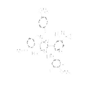 COc1ccc(CN(Cc2ccc(OC)cc2)c2nc(C)nc(-c3cc(C4(N)CC4)cnc3Nc3cnc(OC)c(F)c3)n2)cc1